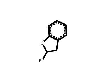 CCC1Cc2ccccc2O1